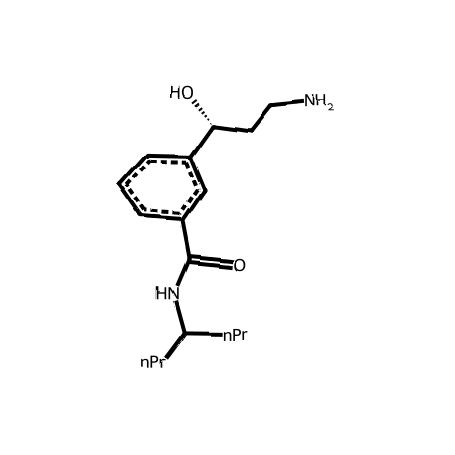 CCCC(CCC)NC(=O)c1cccc([C@H](O)CCN)c1